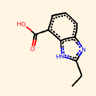 CCc1nc2cccc(C(=O)O)c2[nH]1